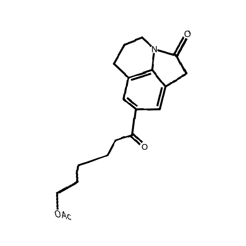 CC(=O)OCCCCCC(=O)c1cc2c3c(c1)CC(=O)N3CCC2